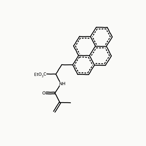 C=C(C)C(=O)NC(Cc1ccc2ccc3cccc4ccc1c2c34)C(=O)OCC